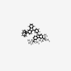 CC(C)(C)c1ccc2c(c1)c1cc(C(C)(C)C)ccc1n2-c1cccc(-n2c3ccccc3c3cc(C45CC6CC(CC(C6)C4)C5)ccc32)n1